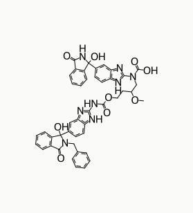 COC(CCOC(=O)Nc1nc2cc(C3(O)c4ccccc4C(=O)N3Cc3ccccc3)ccc2[nH]1)CN(C(=O)O)c1nc2cc(C3(O)NC(=O)c4ccccc43)ccc2[nH]1